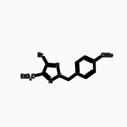 CCOC(=O)c1nn(Cc2ccc(OC)cc2)nc1Br